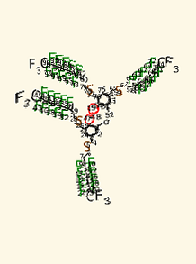 Cc1cc(CSCCC(F)(F)C(F)(F)C(F)(F)C(F)(F)C(F)(F)C(F)(F)F)cc(CSCCC(F)(F)C(F)(F)C(F)(F)C(F)(F)C(F)(F)C(F)(F)F)c1OCOc1c(C)cc(CSCCC(F)(F)C(F)(F)C(F)(F)C(F)(F)C(F)(F)C(F)(F)F)cc1CSCCC(F)(F)C(F)(F)C(F)(F)C(F)(F)C(F)(F)C(F)(F)F